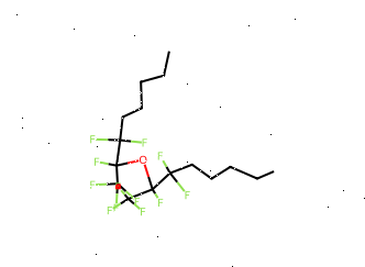 CCCCCC(F)(F)C(F)(OC(F)(C(F)(F)F)C(F)(F)CCCCC)C(F)(F)F